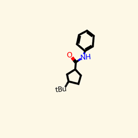 CC(C)(C)C1CCC(C(=O)Nc2ccccc2)C1